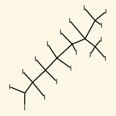 I[C](I)C(I)(I)C(I)(I)C(I)(I)C(I)(I)C(I)(C(I)(I)I)C(I)(I)I